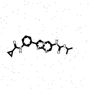 CC(C)OC(=O)Nc1cnc2nc(-c3cccc(NC(=O)C4CC4)c3)cn2c1